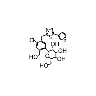 OCc1cc(Cl)c(Cc2ncc(-c3ccsc3)s2)cc1[C@@H]1O[C@H](CO)[C@@H](O)[C@H](O)[C@H]1O